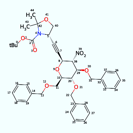 CC(C)(C)OC(=O)N1[C@@H](C#C[C@@H]2O[C@H](COCc3ccccc3)[C@@H](OCc3ccccc3)[C@H](OCc3ccccc3)[C@H]2[N+](=O)[O-])COC1(C)C